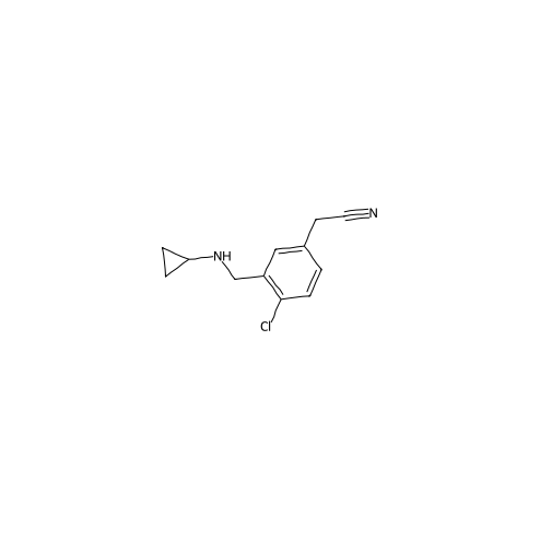 N#CCc1ccc(Cl)c(CNC2CC2)c1